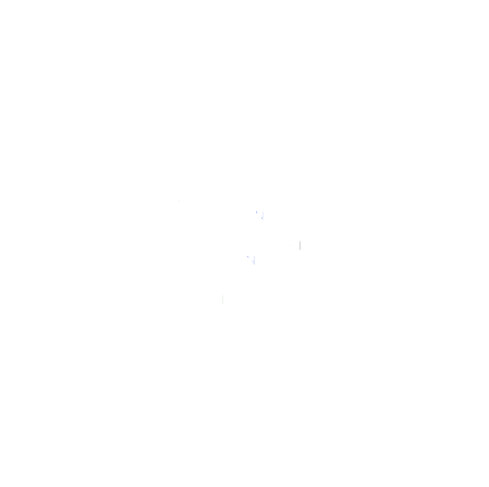 Cc1nc2c(Cl)ccc(Cl)c2c(=O)[nH]1